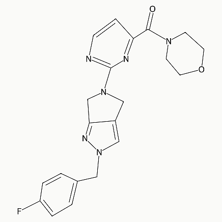 O=C(c1ccnc(N2Cc3cn(Cc4ccc(F)cc4)nc3C2)n1)N1CCOCC1